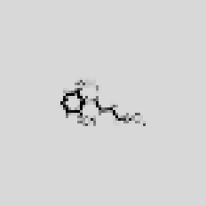 N#Cc1cccc(N)c1CCCC[N+](=O)[O-]